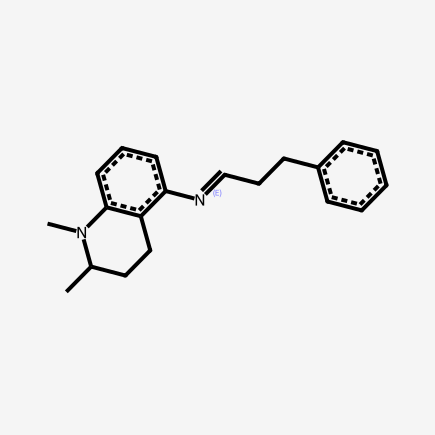 CC1CCc2c(/N=C/CCc3ccccc3)cccc2N1C